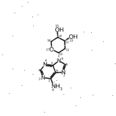 Nc1ncnc2c1ncn2[C@H]1C[C@H](O)[C@H](O)CO1